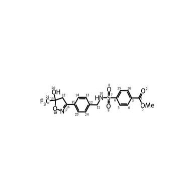 COC(=O)c1ccc(S(=O)(=O)NCc2ccc(C3=NOC(O)(C(F)(F)F)C3)cc2)cc1